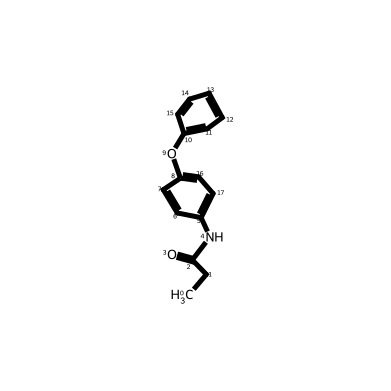 CCC(=O)Nc1ccc(Oc2ccccc2)cc1